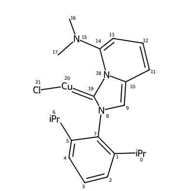 CC(C)c1cccc(C(C)C)c1-n1cc2cccc(N(C)C)n2[c]1=[Cu][Cl]